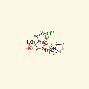 CN1C2CCC1CC(OC(=O)CC(C)(O)c1ccccc1)C2.Cl